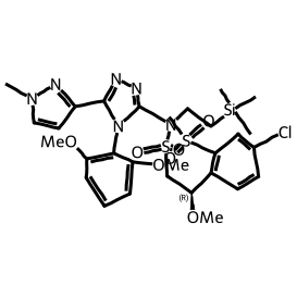 COc1cccc(OC)c1-n1c(-c2ccn(C)n2)nnc1N(CC[Si](C)(C)C)S(=O)(=O)C[C@H](OC)c1ccc(Cl)cc1S(C)(=O)=O